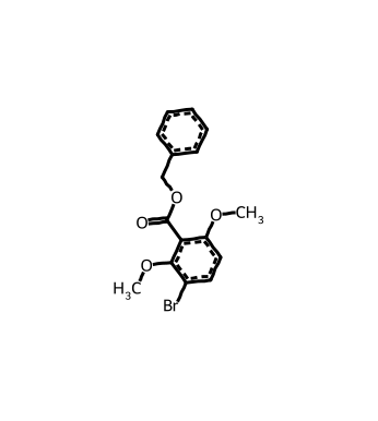 COc1ccc(Br)c(OC)c1C(=O)OCc1ccccc1